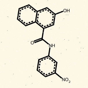 O=C(Nc1cccc([N+](=O)[O-])c1)c1cc(O)cc2ccccc12